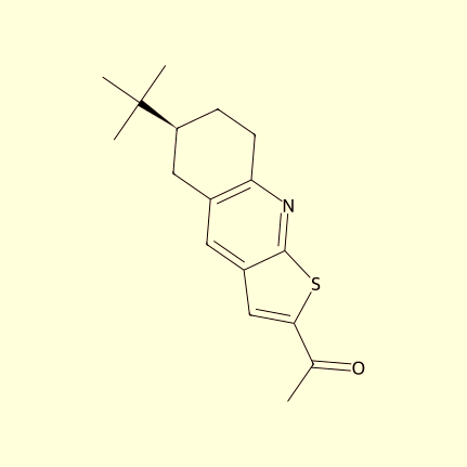 CC(=O)c1cc2cc3c(nc2s1)CC[C@H](C(C)(C)C)C3